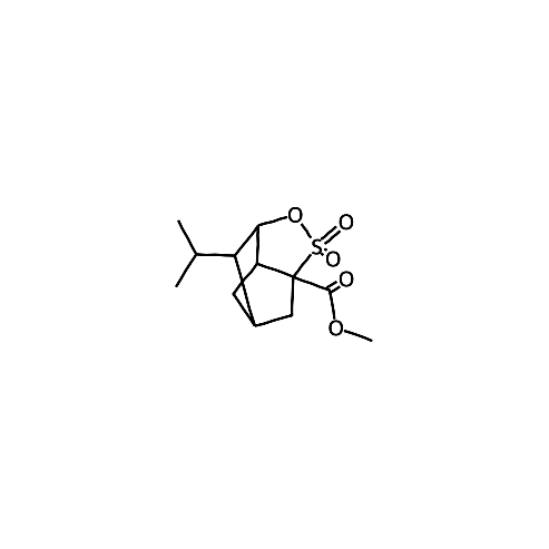 COC(=O)C12CC3CC1C(OS2(=O)=O)C3C(C)C